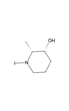 C[C@@H]1[C@H](O)CCCN1I